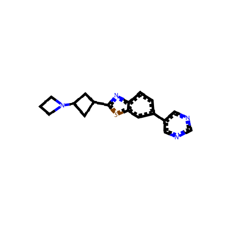 c1ncc(-c2ccc3nc(C4CC(N5CCC5)C4)sc3c2)cn1